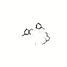 NCC1CCC(CNCc2cccc(OCc3ccc(Cl)cc3Br)c2)N1